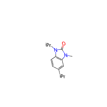 CC(C)c1ccc2c(c1)n(C)c(=O)n2C(C)C